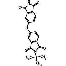 CC(C)(C)N1C(=O)c2ccc(Oc3ccc4c(c3)C(=O)NC4=O)cc2C1=O